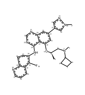 C[C@H](CN(C)C1CCC1)Oc1cc(-c2cnn(C)c2)cc2ncnc(Nc3ccc4ncccc4c3F)c12